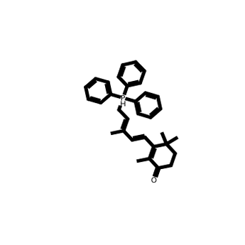 CC(C=CC1=C(C)C(=O)CCC1(C)C)=CC[PH](c1ccccc1)(c1ccccc1)c1ccccc1